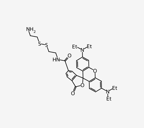 CCN(CC)c1ccc2c(c1)Oc1cc(N(CC)CC)ccc1C21OC(=O)c2ccc(C(=O)NCCSSCCN)cc21